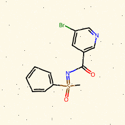 CS(=O)(=NC(=O)c1cncc(Br)c1)c1ccccc1